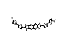 Fc1ccc(-c2ccc(-c3nc4cc5cc6sc(-c7ccc(-c8ccc(F)s8)s7)nc6cc5cc4s3)s2)s1